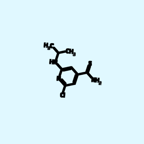 CC(C)Nc1cc(C(N)=S)cc(Cl)n1